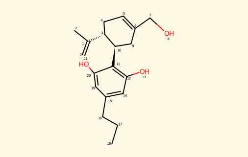 C=C(C)[C@@H]1CC=C(CO)C[C@H]1c1c(O)cc(CCC)cc1O